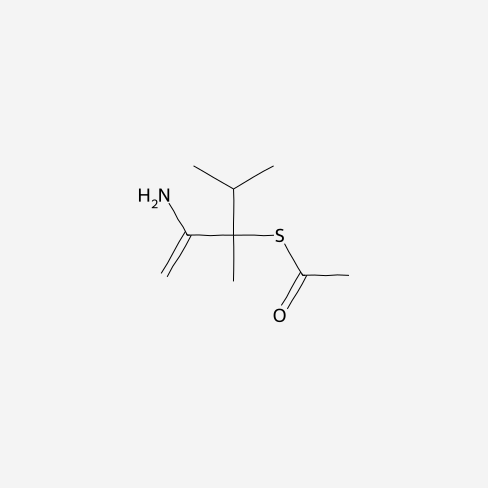 C=C(N)C(C)(SC(C)=O)C(C)C